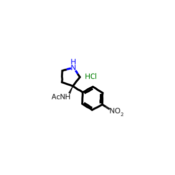 CC(=O)N[C@@]1(c2ccc([N+](=O)[O-])cc2)CCNC1.Cl